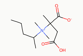 CCCC(C)[N+](C)(C)C(C)(CC(=O)O)C(=O)[O-]